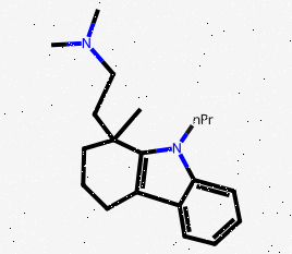 CCCn1c2c(c3ccccc31)CCCC2(C)CCN(C)C